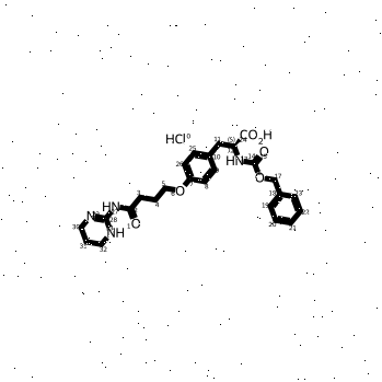 Cl.O=C(CCCOc1ccc(C[C@H](NC(=O)OCc2ccccc2)C(=O)O)cc1)NC1=NCCCN1